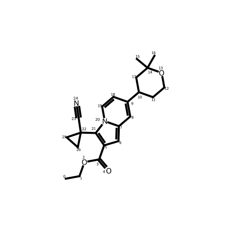 CCOC(=O)c1cc2cc(C3CCOC(C)(C)C3)ccn2c1C1(C#N)CC1